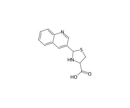 O=C(O)C1CSC(c2cnc3ccccc3c2)N1